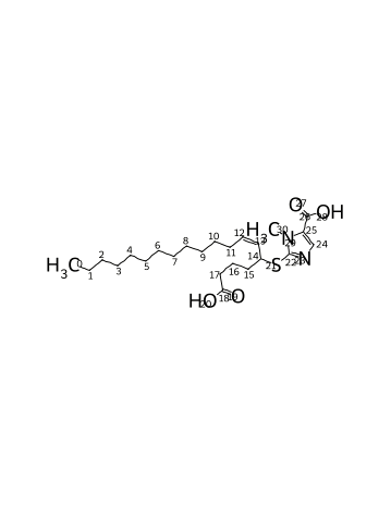 CCCCCCCCCCCC/C=C\C(CCCC(=O)O)Sc1ncc(C(=O)O)n1C